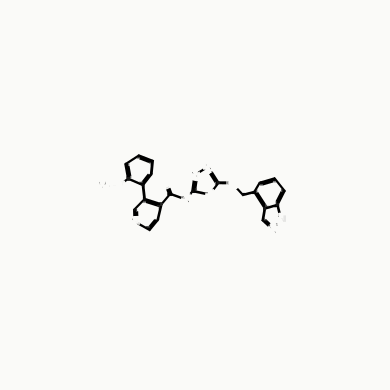 COc1ccccc1-c1cnccc1C(=O)Nc1nnc(OCc2cccc3[nH]ncc23)s1